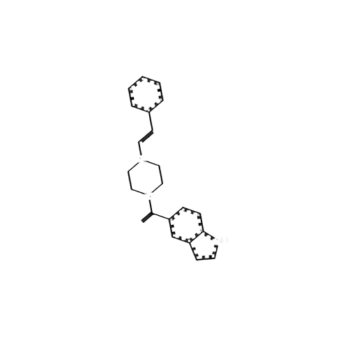 O=C(c1ccc2[nH]ccc2c1)N1CCN(C=Cc2ccccc2)CC1